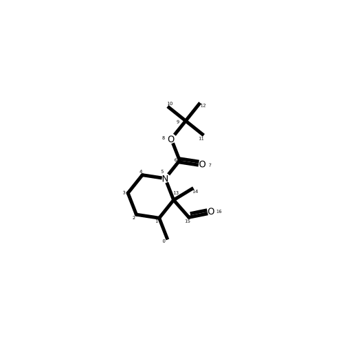 CC1CCCN(C(=O)OC(C)(C)C)C1(C)C=O